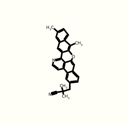 Cc1ccc2c(C)c3c(cc2c1)-c1nccc2c1c(cc1ccc(CC(C)(C)C#N)cc12)O3